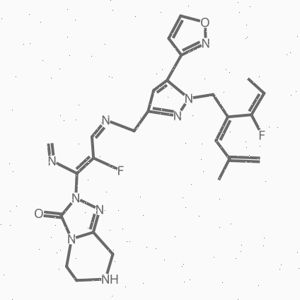 C=N/C(=C(F)\C=N/Cc1cc(-c2ccon2)n(CC(=C/C(=C)C)/C(F)=C\C)n1)n1nc2n(c1=O)CCNC2